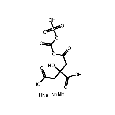 O=C(O)CC(O)(CC(=O)OC(=O)OS(=O)(=O)O)C(=O)O.[LiH].[NaH].[NaH]